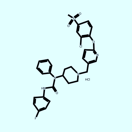 CS(=O)(=O)c1ccc(Oc2ccc(CN3CCC(N(C(=O)Nc4ccc(F)cc4)c4ccccc4)CC3)cn2)c(Cl)c1.Cl